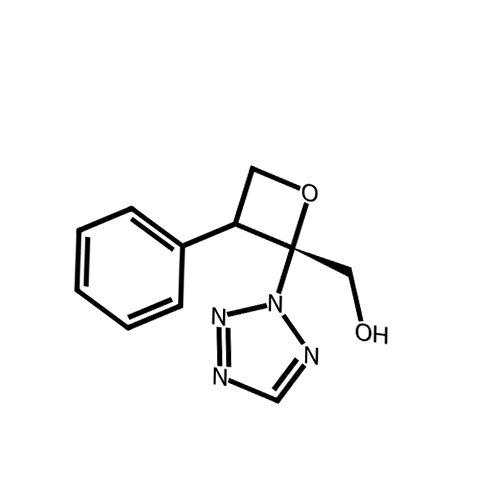 OC[C@]1(n2ncnn2)OCC1c1ccccc1